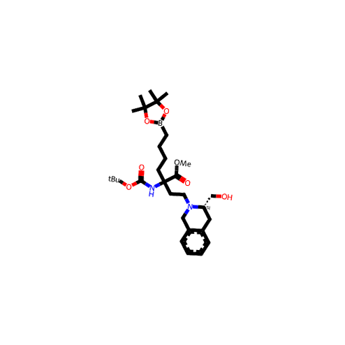 COC(=O)C(CCCCB1OC(C)(C)C(C)(C)O1)(CCN1Cc2ccccc2C[C@H]1CO)NC(=O)OC(C)(C)C